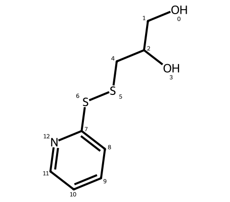 OCC(O)CSSc1ccccn1